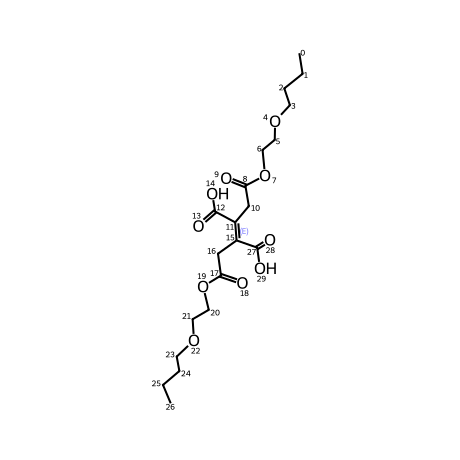 CCCCOCCOC(=O)C/C(C(=O)O)=C(/CC(=O)OCCOCCCC)C(=O)O